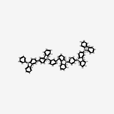 c1ccc(-n2c3ccccc3c3cc(-c4ccc5c(c4)c4ccccc4n5-c4cccc(-c5cccc6c5c5ccccc5n6-c5ccc(-n6c7ccccc7c7cc(-n8c9ccccc9c9ccccc98)ccc76)cn5)c4)ccc32)cc1